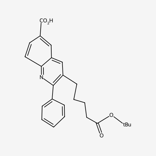 CC(C)(C)OC(=O)CCCCc1cc2cc(C(=O)O)ccc2nc1-c1ccccc1